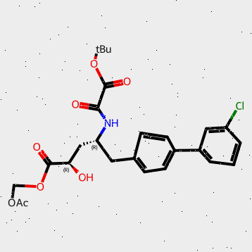 CC(=O)OCOC(=O)[C@H](O)C[C@@H](Cc1ccc(-c2cccc(Cl)c2)cc1)NC(=O)C(=O)OC(C)(C)C